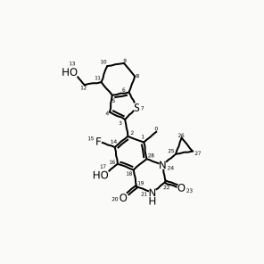 Cc1c(-c2cc3c(s2)CCCC3CO)c(F)c(O)c2c(=O)[nH]c(=O)n(C3CC3)c12